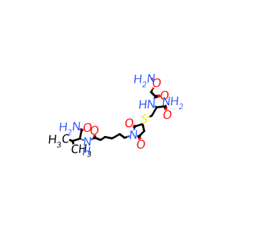 CC(C)[C@H](NC(=O)CCCCCN1C(=O)CC(SCC(NC(=O)CON)C(N)=O)C1=O)C(N)=O